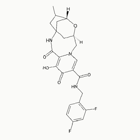 CC1CC23C[C@H](Cn4cc(C(=O)NCc5ccc(F)cc5F)c(=O)c(O)c4C(=O)N2)O[C@@H]1C3